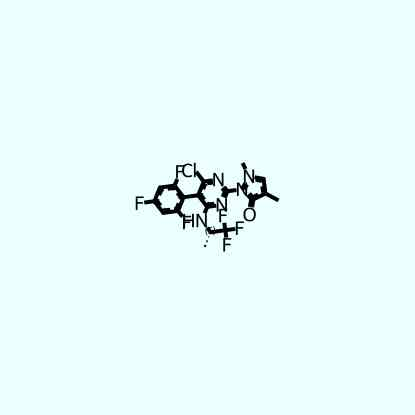 Cc1cn(C)n(-c2nc(Cl)c(-c3c(F)cc(F)cc3F)c(N[C@@H](C)C(F)(F)F)n2)c1=O